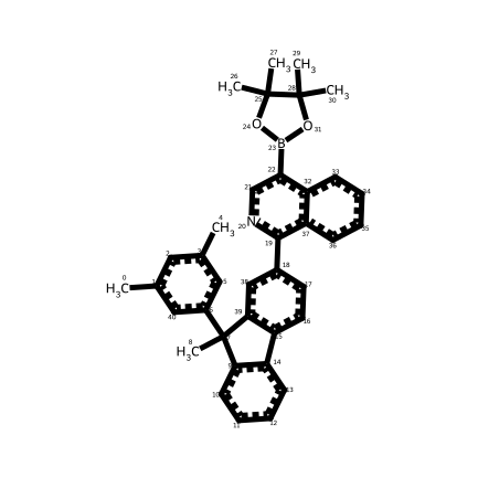 Cc1cc(C)cc(C2(C)c3ccccc3-c3ccc(-c4ncc(B5OC(C)(C)C(C)(C)O5)c5ccccc45)cc32)c1